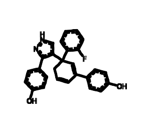 Oc1ccc(C2=CC(c3ccccc3F)(c3c[nH]nc3-c3ccc(O)cc3)CC=C2)cc1